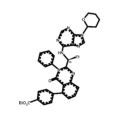 CCOC(=O)c1ccc(-c2cccc3nc([C@H](CC)Nc4ncnc5c4ncn5C4CCCCO4)n(-c4ccccc4)c(=O)c23)cc1